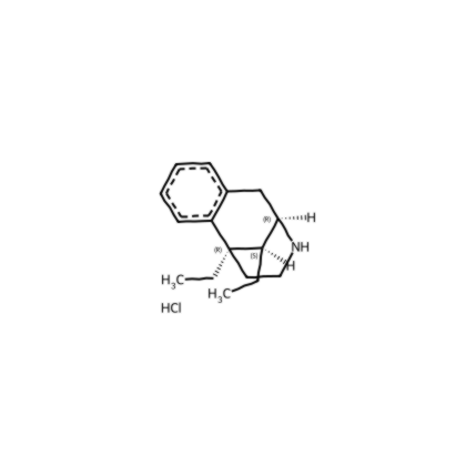 CC[C@@H]1[C@H]2Cc3ccccc3[C@]1(CC)CCN2.Cl